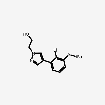 CC(C)(C)Sc1cccc(-c2cnn(CCO)c2)c1Cl